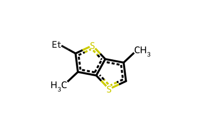 CCc1sc2c(C)csc2c1C